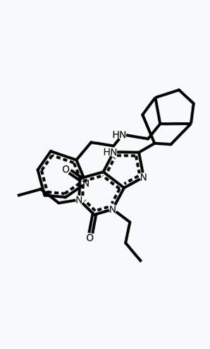 CCCn1c(=O)c2[nH]c(C3CC4CCC(C3)C4CNCCc3ccccn3)nc2n(CCC)c1=O